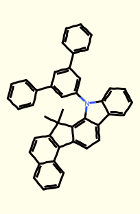 CC1(C)c2ccc3ccccc3c2-c2ccc3c4ccccc4n(-c4cc(-c5ccccc5)cc(-c5ccccc5)c4)c3c21